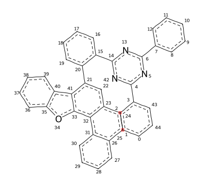 c1ccc(-c2nc(-c3ccccc3)nc(-c3ccccc3-c3cc4ccc5ccccc5c4c4oc5ccccc5c34)n2)cc1